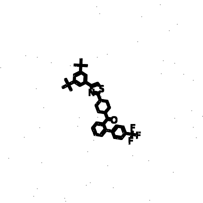 CC(C)(C)c1cc(-c2csc(C3CCC(C(=O)c4ccccc4-c4ccc(C(F)(F)F)cc4)CC3)n2)cc(C(C)(C)C)c1